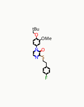 COc1cc(-n2ccnc(SCCc3ccc(F)cc3)c2=O)ccc1OCC(C)(C)C